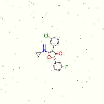 O=C1C(c2cccc(Cl)c2)=C(NC2CC2)OC1c1cccc(F)c1